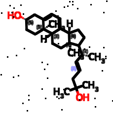 C[C@H](/C=C/CC(C)(C)O)C1CC[C@H]2C3=CC=C4C[C@@H](O)CC[C@]4(C)[C@H]3CC[C@]12C